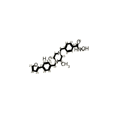 C[C@@H]1CN(Cc2ccc(C(=O)NO)cc2)C[C@H](C)N1Cc1ccc(-c2ccco2)cc1